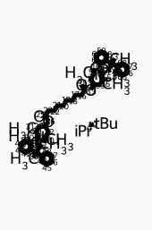 CC(C)CC(C)(C)C.CC(CON1C(C)(C)CC(OC(=O)CCCCCCCCC(=O)OC2CC(C)(C)N(OCC(C)(c3ccccc3)c3ccccc3)C(C)(C)C2)CC1(C)C)(c1ccccc1)c1ccccc1